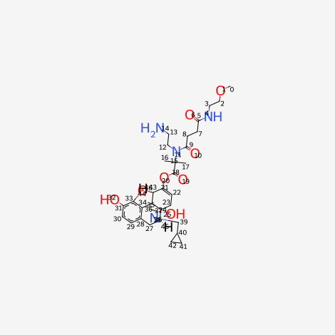 COCCNC(=O)CCC(=O)N(CCN)C(C)(C)C(=O)OC1=CC[C@@]2(O)[C@H]3Cc4ccc(O)c5c4[C@@]2(CCN3CC2CC2)[C@H]1O5